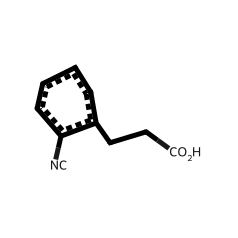 [C-]#[N+]c1ccccc1CCC(=O)O